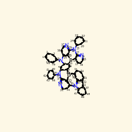 c1ccc(N2c3cc4c(cc3B3c5cccnc5N(c5ccccc5)c5nccc2c53)B2c3c(ccnc3N4c3ccccc3)-n3c4ccccc4c4cccc2c43)cc1